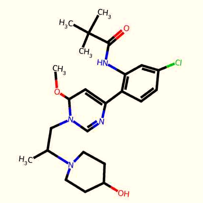 COC1C=C(c2ccc(Cl)cc2NC(=O)C(C)(C)C)N=CN1CC(C)N1CCC(O)CC1